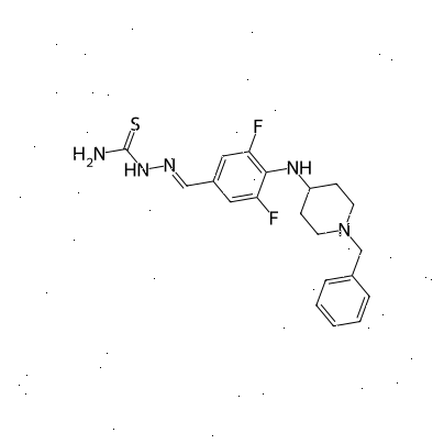 NC(=S)N/N=C/c1cc(F)c(NC2CCN(Cc3ccccc3)CC2)c(F)c1